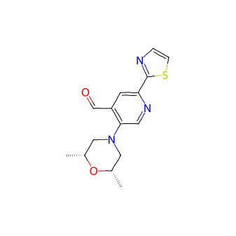 C[C@@H]1CN(c2cnc(-c3nccs3)cc2C=O)C[C@H](C)O1